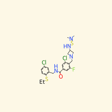 CCSc1ccc(Cl)cc1CNC(=O)c1cc(F)c(CN2CC(NSN(C)C)C2)c(Cl)c1